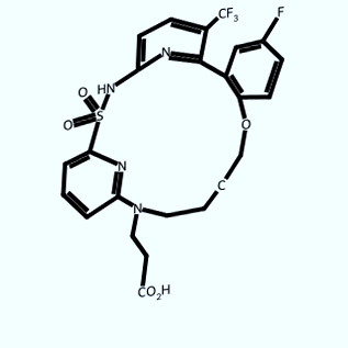 O=C(O)CCN1CCCCOc2ccc(F)cc2-c2nc(ccc2C(F)(F)F)NS(=O)(=O)c2cccc1n2